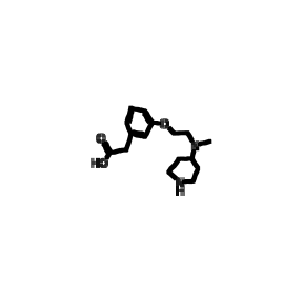 CN(CCOc1cccc(CC(=O)O)c1)C1CCNCC1